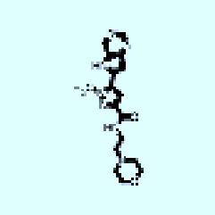 Cn1nc(C(=O)NCCN2CCOCC2)cc1-c1cc2ncncc2[nH]1